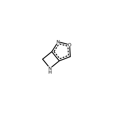 c1onc2c1NC2